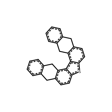 c1ccc2c(c1)Cc1ccc3sc4ccc5c(c4c3c1C2)Cc1ccccc1C5